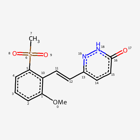 COc1cccc(S(C)(=O)=O)c1C=Cc1ccc(=O)[nH]n1